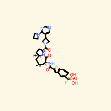 C[C@H]1C[C@H]2CC[C@@H](C(=O)N3CC(c4cncnc4N4CCC4)C3)N2C(=O)[C@@H](NC(=O)c2cc3cc([C@@H](F)P(=O)(O)O)ccc3s2)C1